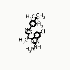 CN(c1cnc(-c2ccc(C(C)(C)C)cc2)s1)c1nc(NN)nc2cc(Cl)ccc12